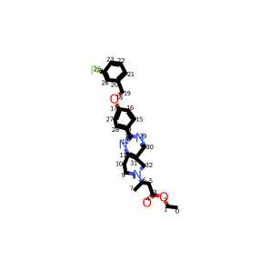 CCOC(=O)CC(C)N1CCc2nc(-c3ccc(OCc4cccc(F)c4)cc3)ncc2C1